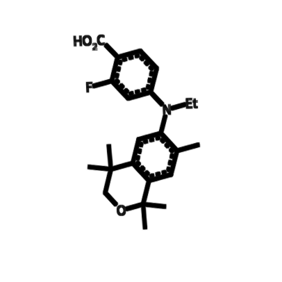 CCN(c1ccc(C(=O)O)c(F)c1)c1cc2c(cc1C)C(C)(C)OCC2(C)C